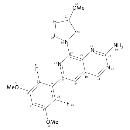 COc1cc(OC)c(F)c(-c2cc3cnc(N)nc3c(N3CCC(OC)C3)n2)c1F